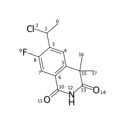 CC(Cl)c1cc2c(cc1F)C(=O)NC(=O)C2(C)C